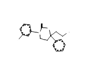 O=C1OC(CCO)(c2ccccc2)CCN1c1cccc(Br)c1